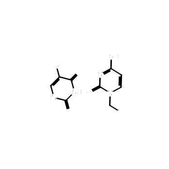 Nc1ccn(CF)c(=O)n1.O=c1[nH]cc(Br)c(=O)[nH]1